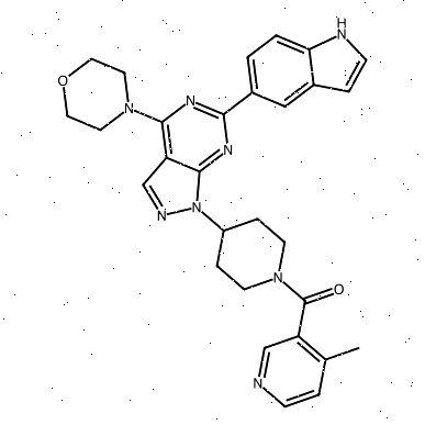 Cc1ccncc1C(=O)N1CCC(n2ncc3c(N4CCOCC4)nc(-c4ccc5[nH]ccc5c4)nc32)CC1